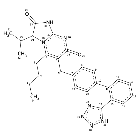 CCCCc1c(Cc2ccc(-c3ccccc3-c3nnn[nH]3)cc2)c(=O)nc2n1C(C(C)C)C(=O)N2